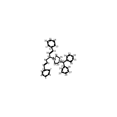 C(=Cc1ccccc1)CC(C=Cc1ccccc1)N1CCN(C(c2ccccc2)c2ccccc2)CC1